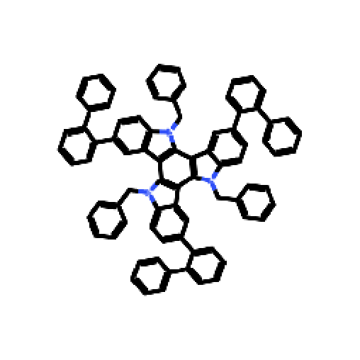 c1ccc(Cn2c3ccc(-c4ccccc4-c4ccccc4)cc3c3c2c2c4cc(-c5ccccc5-c5ccccc5)ccc4n(Cc4ccccc4)c2c2c4cc(-c5ccccc5-c5ccccc5)ccc4n(Cc4ccccc4)c32)cc1